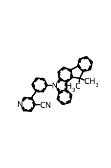 CC1(C)c2ccccc2-c2ccc3c(c21)c1ccccc1n3-c1cccc(-c2cnccc2C#N)c1